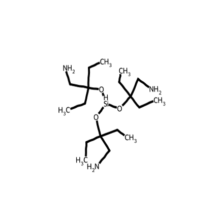 CCC(CC)(CN)O[SiH](OC(CC)(CC)CN)OC(CC)(CC)CN